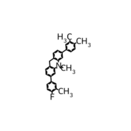 Cc1ccc(-c2ccc3c(c2)N(C)c2cc(-c4ccc(F)c(C)c4)ccc2C3)cc1C